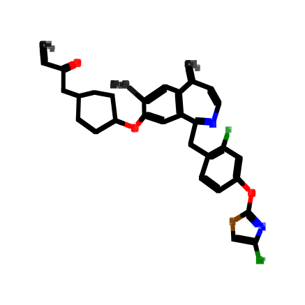 C=CC(=O)CC1CCC(Oc2cc3c(cc2OC)C(=C)C=CN=C3Cc2ccc(Oc3nc(Br)cs3)cc2F)CC1